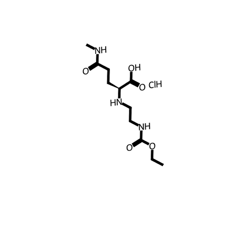 CCOC(=O)NCCN[C@@H](CCC(=O)NC)C(=O)O.Cl